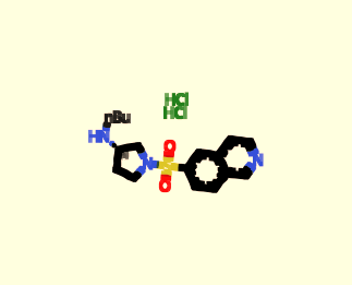 CCCCN[C@H]1CCN(S(=O)(=O)c2ccc3cnccc3c2)C1.Cl.Cl